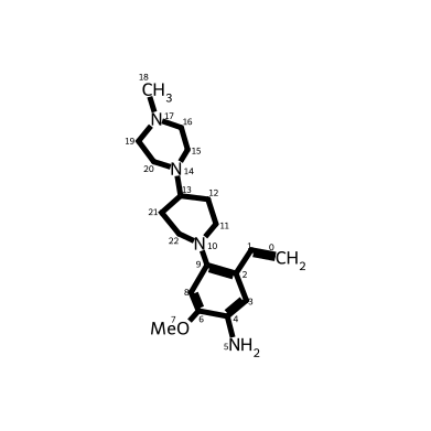 C=Cc1cc(N)c(OC)cc1N1CCC(N2CCN(C)CC2)CC1